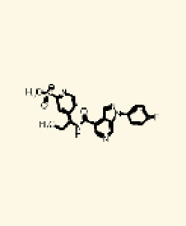 CCC(NC(=O)c1cncc2c1cnn2-c1ccc(F)cc1)c1ccnc(S(C)(=O)=O)c1